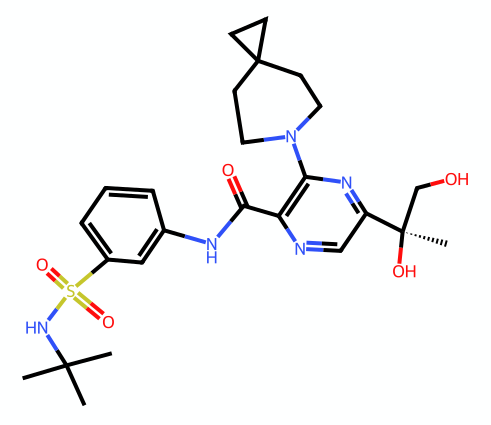 CC(C)(C)NS(=O)(=O)c1cccc(NC(=O)c2ncc([C@](C)(O)CO)nc2N2CCC3(CC2)CC3)c1